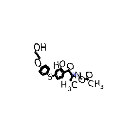 CC/C(=N\OC(C)=O)C(=O)c1ccc(Sc2ccc(OCCO)cc2)cc1O